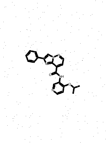 CC(C)Oc1ccncc1NC(=O)c1ccnn2cc(-c3ccccc3)nc12